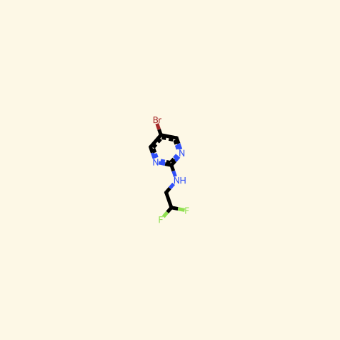 FC(F)CNc1ncc(Br)cn1